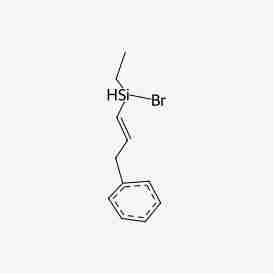 CC[SiH](Br)C=CCc1ccccc1